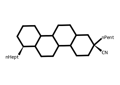 CCCCCCC[C@H]1CCCC2C3CCC4C[C@](C#N)(CCCCC)CCC4C3CCC21